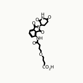 O=C(O)CCCOCCCC(=O)Nc1cccc2c1C(=O)N(C1CCC(=O)NC1=O)C2=O